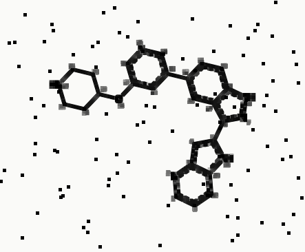 c1cnc2cc(-c3n[nH]c4ccc(-c5cncc(OC6CCNCC6)c5)cc34)[nH]c2c1